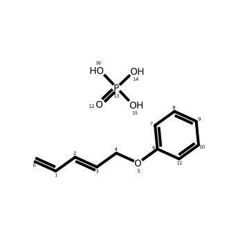 C=CC=CCOc1ccccc1.O=P(O)(O)O